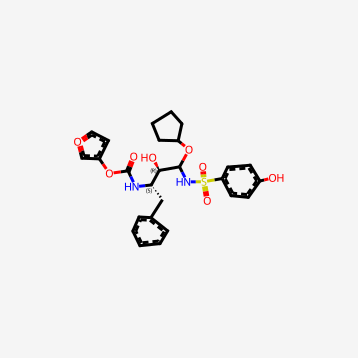 O=C(N[C@@H](Cc1ccccc1)[C@@H](O)C(NS(=O)(=O)c1ccc(O)cc1)OC1CCCC1)Oc1ccoc1